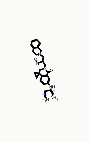 N/C=C\C(=C/N)Nc1ccc2c(c1)C(=O)N(CC(CN1CCc3ccccc3C1)N=O)CC21CC1